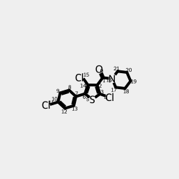 O=C(c1c(Cl)sc(-c2ccc(Cl)cc2)c1Cl)N1CCCCC1